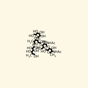 CC(=O)NC1[C@H](O[C@@H]2C(CO)O[C@@H](C)C(NC(C)=O)[C@H]2O)OC(CO)[C@@H](O[C@H](O)C(O)[C@@H](O[C@H]2OC(CO)[C@@H](O)C(O)C2O)[C@H](O)C(C)CO[C@@H](O)C(O)[C@@H](O)[C@H](O)C(C)CO)[C@@H]1O